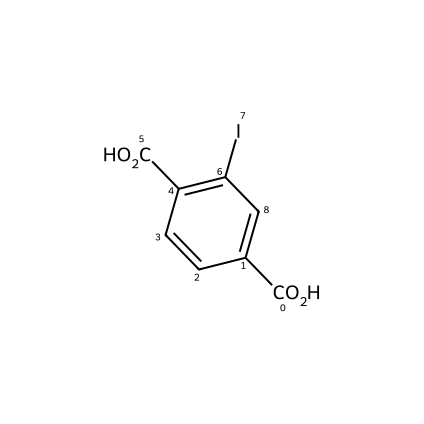 O=C(O)c1ccc(C(=O)O)c(I)c1